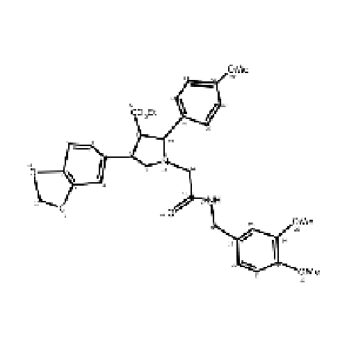 CCOC(=O)C1C(c2ccc3c(c2)OCO3)CN(CC(=O)NCc2ccc(OC)c(OC)c2)C1c1ccc(OC)cc1